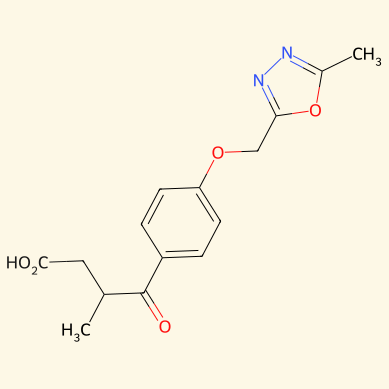 Cc1nnc(COc2ccc(C(=O)C(C)CC(=O)O)cc2)o1